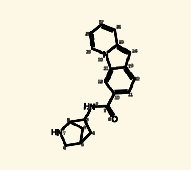 O=C(NC1CC2CNC1C2)c1ccc2cc3ccccn3c2c1